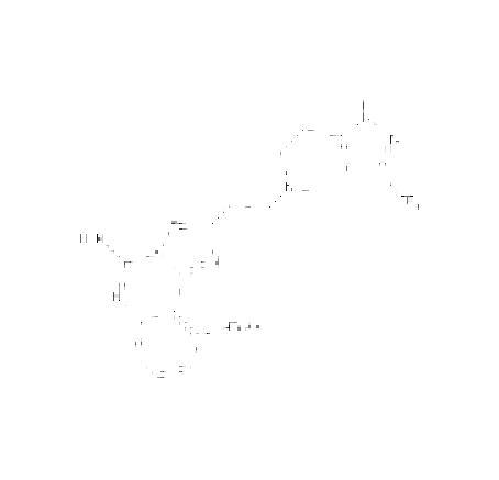 COc1cccc2nc(N)n3nc(CCN4CCc5[nH]nc(C(F)(F)F)c5C4)nc3c12